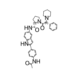 CC(=O)Nc1ccc(-c2cc3cc(NC(=O)[C@@H]4CCCN4C(=O)[C@@H](c4ccccc4)N4CCCCC4)ccc3[nH]2)cc1